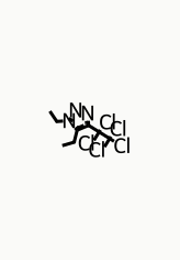 CCc1c(C(Cl)(Cl)C(Cl)(Cl)Cl)nnn1CC